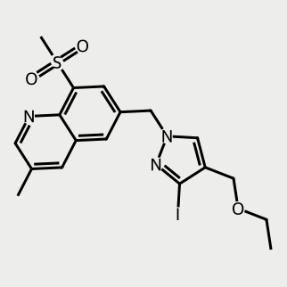 CCOCc1cn(Cc2cc(S(C)(=O)=O)c3ncc(C)cc3c2)nc1I